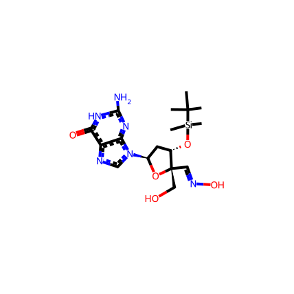 CC(C)(C)[Si](C)(C)O[C@H]1C[C@H](n2cnc3c(=O)[nH]c(N)nc32)O[C@]1(C=NO)CO